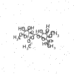 CCOC(=O)C1OC(OC)[C@@H](O)[C@@H](O)[C@@H]1OCCOC1OC(C(=O)NC)[C@@H](OC)[C@H](O)[C@@H]1O